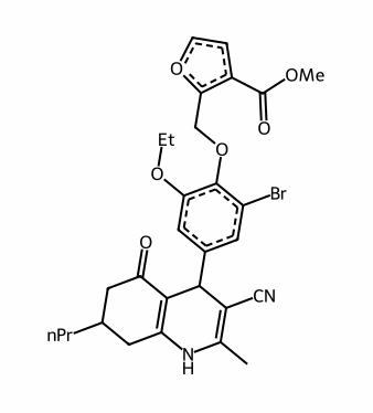 CCCC1CC(=O)C2=C(C1)NC(C)=C(C#N)C2c1cc(Br)c(OCc2occc2C(=O)OC)c(OCC)c1